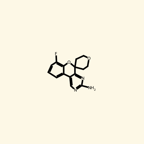 Nc1ncc2c(n1)C1(CCOCC1)Oc1c(F)cccc1-2